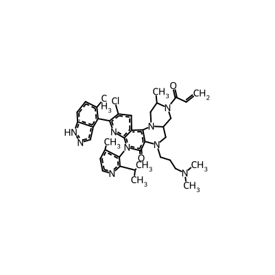 C=CC(=O)N1CC2CN(CCCN(C)C)c3c(c4cc(Cl)c(-c5c(C)ccc6[nH]ncc56)nc4n(-c4c(C)ccnc4C(C)C)c3=O)N2CC1C